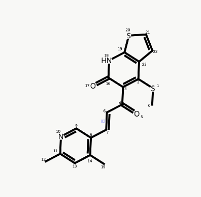 CSc1c(C(=O)/C=C/c2cnc(C)cc2C)c(=O)[nH]c2sccc12